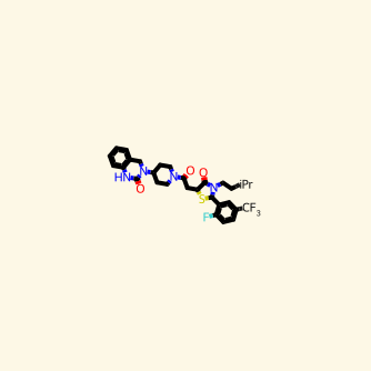 CC(C)CCN1C(=O)C(CC(=O)N2CCC(N3Cc4ccccc4NC3=O)CC2)SC1c1cc(C(F)(F)F)ccc1F